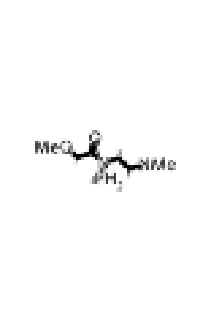 CNCCN(P)C(=O)COC